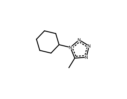 Cc1nnnn1C1CCCCC1